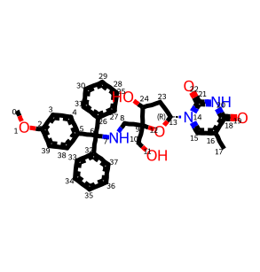 COc1ccc(C(NCC2(CO)O[C@@H](n3cc(C)c(=O)[nH]c3=O)CC2O)(c2ccccc2)c2ccccc2)cc1